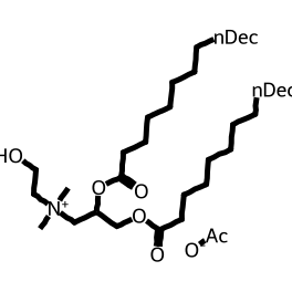 CC(=O)[O-].CCCCCCCCCCCCCCCCCC(=O)OCC(C[N+](C)(C)CCO)OC(=O)CCCCCCCCCCCCCCCCC